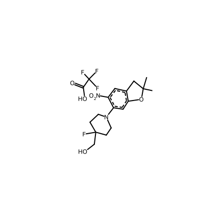 CC1(C)Cc2cc([N+](=O)[O-])c(N3CCC(F)(CO)CC3)cc2O1.O=C(O)C(F)(F)F